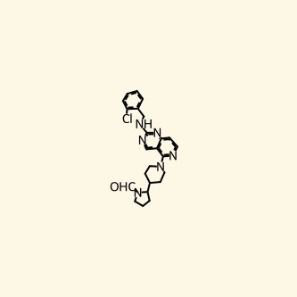 O=CN1CCCC1C1CCN(c2nccc3nc(NCc4ccccc4Cl)ncc23)CC1